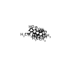 C=C=Cc1ccc(O)c2c1[C@@H](C)[C@@]1(C)C(=C(O)[C@@]3(O)C(=O)C(C(C)=O)=C(O)C(C(C)C)[C@@]3(C)[C@@H]1O)C2=O